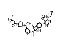 COc1c(NCC2CC2)ncnc1-c1ccc2nc(Nc3cc(C(C)N4CCN(C(=O)CC(F)(F)F)CC4)ccn3)[nH]c2c1